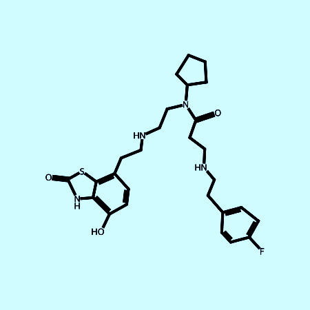 O=C(CCNCCc1ccc(F)cc1)N(CCNCCc1ccc(O)c2[nH]c(=O)sc12)C1CCCC1